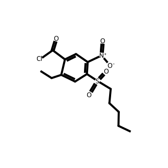 CCCCCS(=O)(=O)c1cc(CC)c(C(=O)Cl)cc1[N+](=O)[O-]